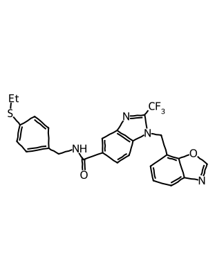 CCSc1ccc(CNC(=O)c2ccc3c(c2)nc(C(F)(F)F)n3Cc2cccc3ncoc23)cc1